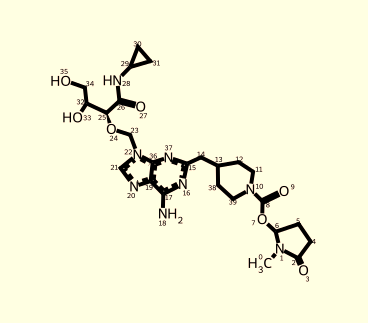 CN1C(=O)CCC1OC(=O)N1CCC(Cc2nc(N)c3ncn(CO[C@H](C(=O)NC4CC4)C(O)CO)c3n2)CC1